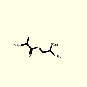 CCCCCCCCCCC(CCCCCCCC)COC(=O)C(C)CCCCCCCCCC